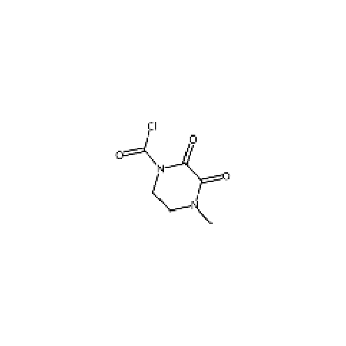 CN1CCN(C(=O)Cl)C(=O)C1=O